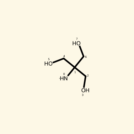 [NH]C(CO)(CO)CO